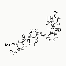 COc1cc(C(=O)N2CCOc3c(C#Cc4cccc5c4CN(C4CCC(=O)NC4=O)C5=O)cccc32)ccc1[N+](=O)[O-]